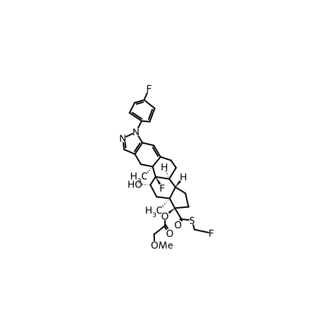 COCC(=O)O[C@]1(C(=O)SCF)CC[C@H]2[C@@H]3CCC4=Cc5c(cnn5-c5ccc(F)cc5)C[C@]4(C)[C@@]3(F)[C@@H](O)C[C@@]21C